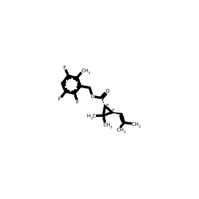 CC(C)=C[C@@H]1[C@@H](C(=O)OCc2c(C)c(F)cc(F)c2F)C1(C)C